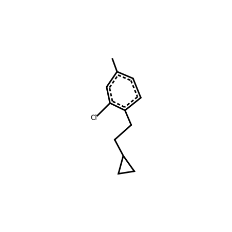 Cc1ccc(CCC2CC2)c(Cl)c1